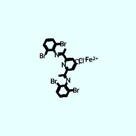 CC(=Nc1c(Br)cccc1Br)c1cccc(C(C)=Nc2c(Br)cccc2Br)n1.[Cl-].[Cl-].[Fe+2]